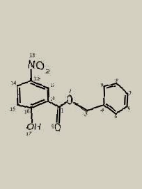 O=C(OCc1ccccc1)c1cc([N+](=O)[O-])ccc1O